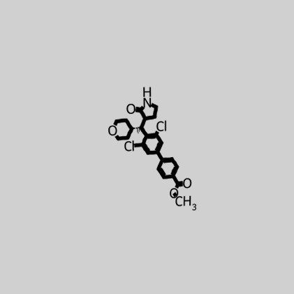 COC(=O)c1ccc(-c2cc(Cl)c([C@H](C3CCOCC3)C3CCNC3=O)c(Cl)c2)cc1